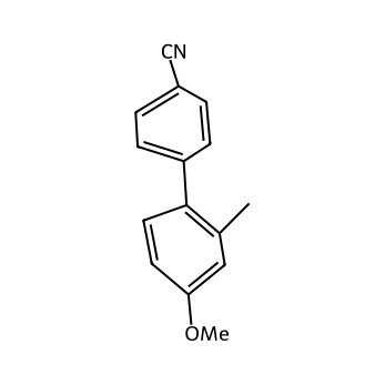 COc1ccc(-c2ccc(C#N)cc2)c(C)c1